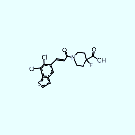 O=C(C=Cc1cc2ccsc2c(Cl)c1Cl)N1CCC(F)(C(=O)O)CC1